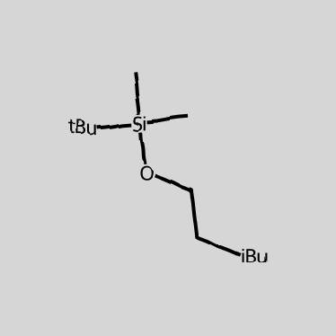 CCC(C)CCO[Si](C)(C)C(C)(C)C